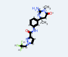 CN1C(=O)C[C@@](C)(c2cccc(NC(=O)c3ccn(CC(F)(F)F)n3)c2)N=C1N